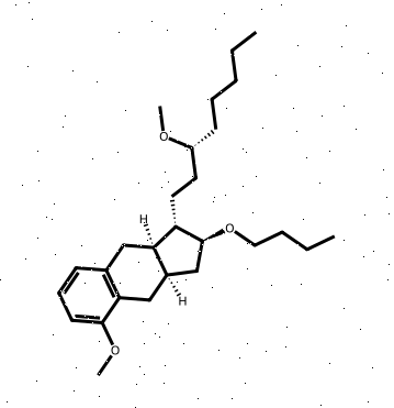 CCCCC[C@H](CC[C@H]1[C@@H]2Cc3cccc(OC)c3C[C@@H]2C[C@@H]1OCCCC)OC